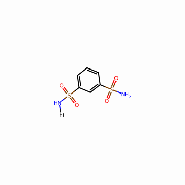 CCNS(=O)(=O)c1cccc(S(N)(=O)=O)c1